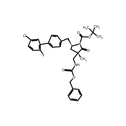 CC(C)(C)OC(=O)N1C(=O)[C@](C)(CNC(=O)OCc2ccccc2)C[C@H]1Cc1ccc(-c2cc(Cl)ccc2F)cc1